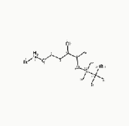 CC[SiH2]OCCC(O)C(C)O[Si](C)(C)C(C)(C)C(C)(C)C